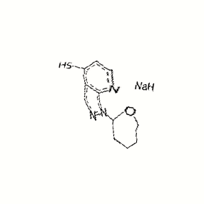 Sc1ccnc2c1cnn2C1CCCCO1.[NaH]